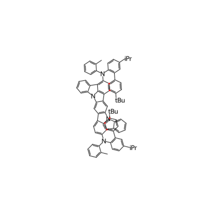 Cc1ccccc1N(c1ccc(C(C)C)cc1-c1ccc(C(C)(C)C)cc1)c1ccc2c3cc4c(cc3n3c5ccccc5c1c23)c1ccc(N(c2ccccc2C)c2ccc(C(C)C)cc2-c2ccc(C(C)(C)C)cc2)c2c3ccccc3n4c12